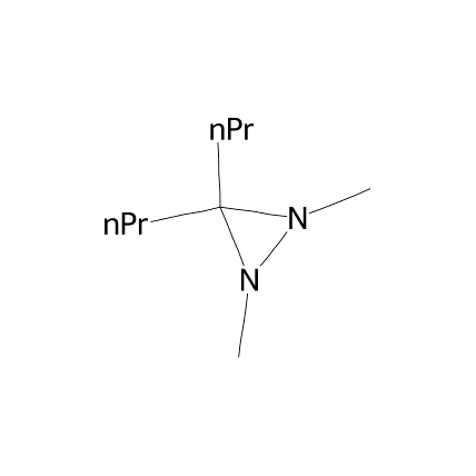 CCCC1(CCC)N(C)N1C